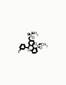 CCS(=O)(=O)c1cccc2c1-c1ccc(CS(N)(=O)=O)cc1C(c1cccc(F)c1)O2